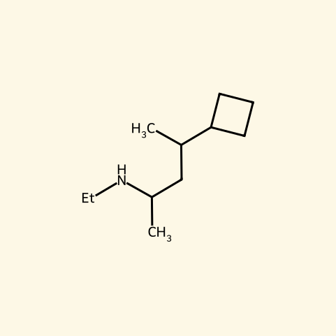 CCNC(C)CC(C)C1CCC1